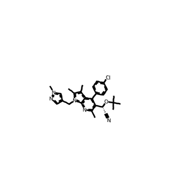 Cc1nc2c(c(C)c(C)n2Cc2cnn(C)c2)c(-c2ccc(Cl)cc2)c1[C@@H](C#N)OC(C)(C)C